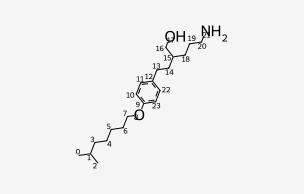 CC(C)CCCCCOc1ccc(CCC(CO)CCCN)cc1